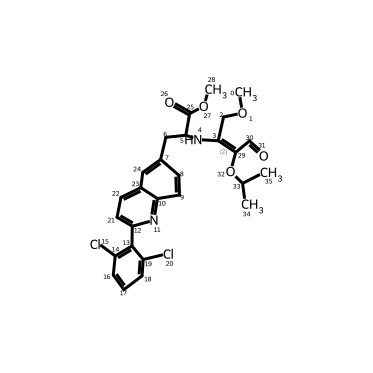 COC/C(NC(Cc1ccc2nc(-c3c(Cl)cccc3Cl)ccc2c1)C(=O)OC)=C(\C=O)OC(C)C